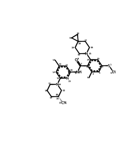 CCSc1cc(C)c(C(=O)Nc2cc(C)cc(N3CCC[C@@H](C#N)C3)n2)c(N2CCC3(CC2)CC3)c1